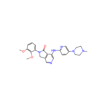 COc1cccc(N2Cc3cncc(Nc4ccc(N5CCN(C)CC5)cn4)c3C2=O)c1OC